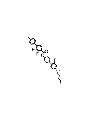 CCCCCOc1ccc(C2CCC(OC(=O)c3ccc(-c4ccc(C)cc4)c(F)c3F)CC2)c(F)c1